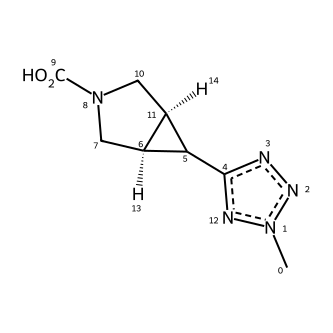 Cn1nnc(C2[C@H]3CN(C(=O)O)C[C@@H]23)n1